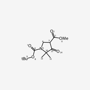 COC(=O)C1CN(C(=O)OC(C)(C)C)C(C)(C)C1=O